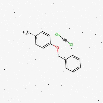 [CH2]c1ccc(OCc2ccccc2)cc1.[Cl][Mg][Cl]